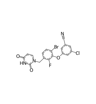 N#Cc1cc(Cl)cc(Oc2c(Br)ccc(Cn3ccc(=O)[nH]c3=O)c2F)c1